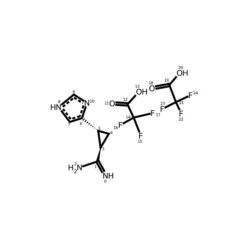 N=C(N)[C@@H]1C[C@H]1c1c[nH]cn1.O=C(O)C(F)(F)F.O=C(O)C(F)(F)F